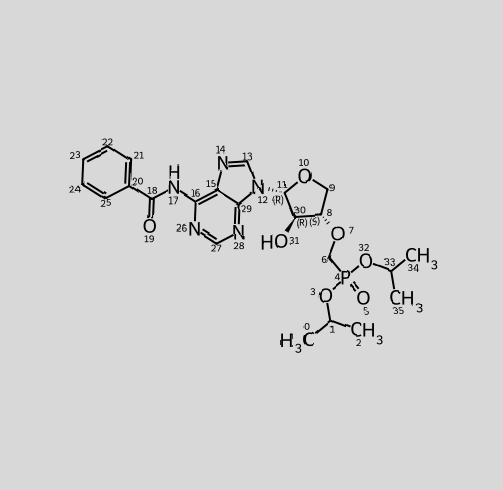 CC(C)OP(=O)(CO[C@H]1CO[C@@H](n2cnc3c(NC(=O)c4ccccc4)ncnc32)[C@@H]1O)OC(C)C